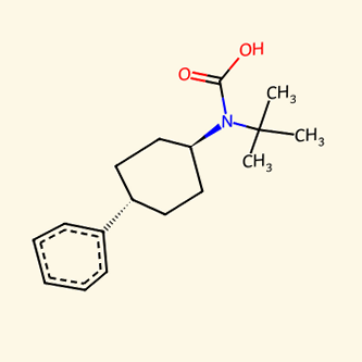 CC(C)(C)N(C(=O)O)[C@H]1CC[C@H](c2ccccc2)CC1